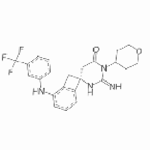 N=C1N[C@]2(CC(=O)N1C1CCOCC1)Cc1c(Nc3cccc(C(F)(F)F)c3)cccc12